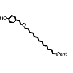 CCCCCC=CCC=CCCCCCCCCOCCc1ccc(O)cc1